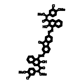 COc1ccc(N(OC)C(=O)c2cc3ccccc3c(N=Nc3ccc4c(c3)C(=O)c3cc(N=Nc5c(O)c(C(=O)N(OC)c6ccc(OC)c(Cl)c6)cc6ccccc56)ccc3-4)c2O)cc1Cl